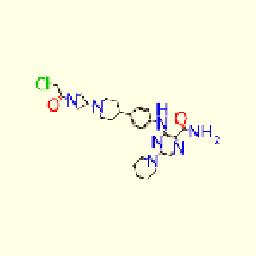 NC(=O)c1ncc(N2CCCCC2)nc1Nc1ccc(C2CCN(C3CN(C(=O)CCl)C3)CC2)cc1